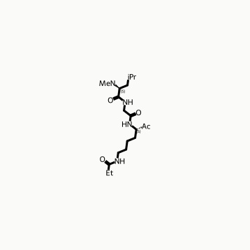 CCC(=O)NCCCC[C@H](NC(=O)CNC(=O)[C@H](CC(C)C)NC)C(C)=O